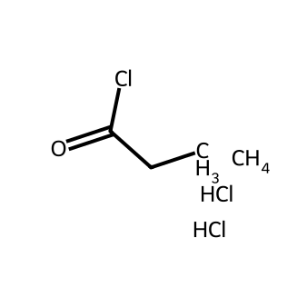 C.CCC(=O)Cl.Cl.Cl